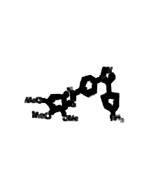 COc1cc2nc(-c3ccc(-n4cncc4-c4ccc(N)cc4)cc3)sc2c(OC)c1OC